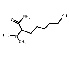 CN(C)C(CCCCCS)C(N)=O